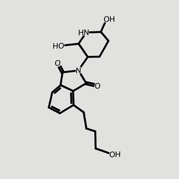 O=C1c2cccc(CCCCO)c2C(=O)N1C1CCC(O)NC1O